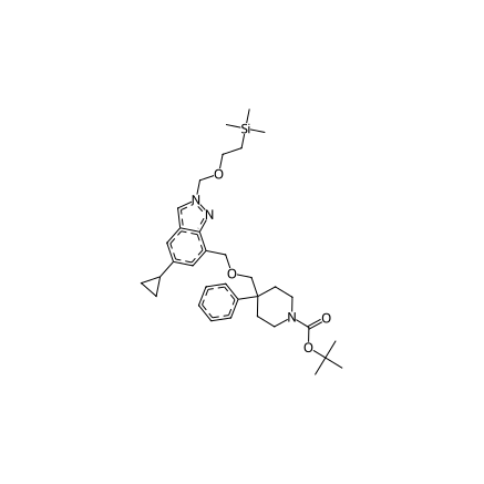 CC(C)(C)OC(=O)N1CCC(COCc2cc(C3CC3)cc3cn(COCC[Si](C)(C)C)nc23)(c2ccccc2)CC1